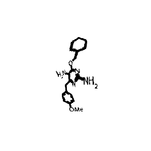 COc1ccc(Cc2nc(N)nc(OCC3CCCCC3)c2N)cc1